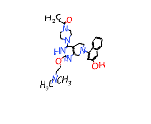 C=CC(=O)N1CCN(C(=N)C2=C(/N=C/OCCN(C)C)CN(c3cc(O)cc4ccccc34)CC2)CC1